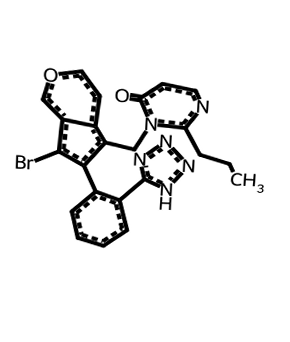 CCCc1nccc(=O)n1Cc1c2ccocc-2c(Br)c1-c1ccccc1-c1nnn[nH]1